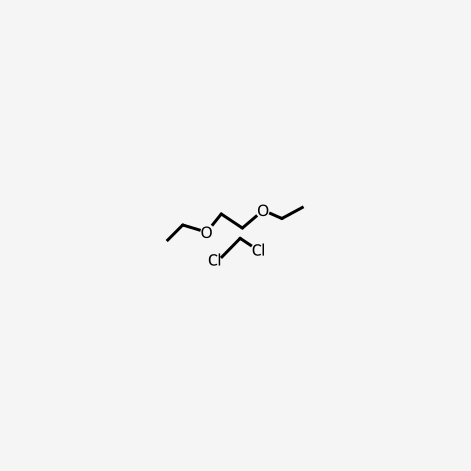 CCOCCOCC.ClCCl